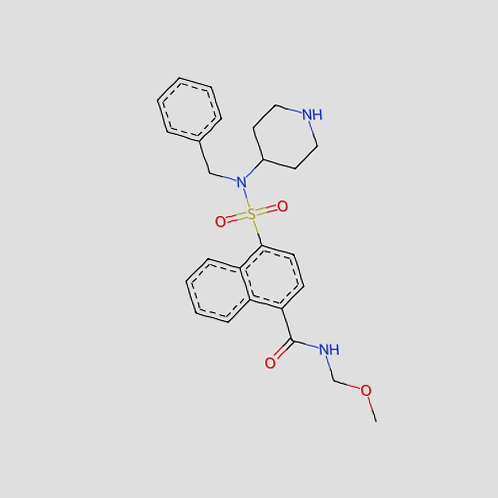 COCNC(=O)c1ccc(S(=O)(=O)N(Cc2ccccc2)C2CCNCC2)c2ccccc12